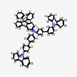 c1ccc(C2(c3ccccc3)c3ccccc3-c3cc(N(c4ccc(-c5ccc(-n6c7ccccc7c7ccccc76)cc5)cc4)c4ccc(-c5cccc(-n6c7ccccc7c7ccccc76)c5)cc4)ccc32)cc1